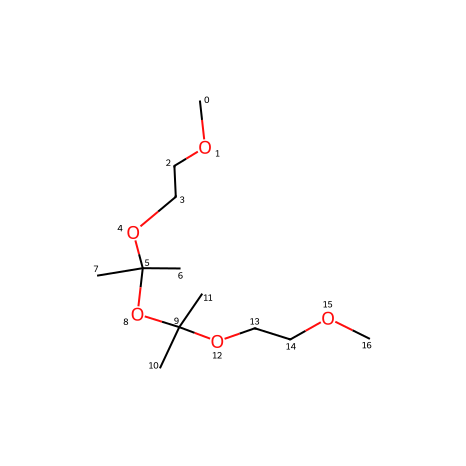 COCCOC(C)(C)OC(C)(C)OCCOC